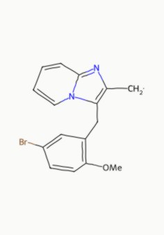 [CH2]c1nc2ccccn2c1Cc1cc(Br)ccc1OC